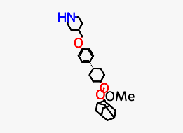 COC1(OO[C@H]2CC[C@@H](c3ccc(OCC4CCNCC4)cc3)CC2)C2CC3CC(C2)CC1C3